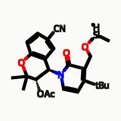 CC(=O)O[C@H]1[C@H](n2ccc(C(C)(C)C)c(CO[SiH](C)C)c2=O)c2cc(C#N)ccc2OC1(C)C